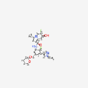 CC(=O)c1cc(C(=O)Nc2cc(COC3CCCCO3)cc(-c3cnn(C)c3)c2F)c2cc(O)c(F)cn12